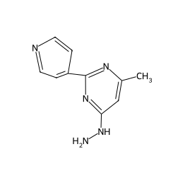 Cc1cc(NN)nc(-c2ccncc2)n1